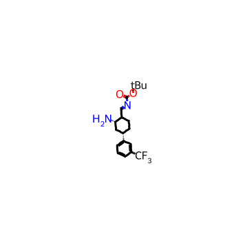 CC(C)(C)OC(=O)/N=C/C1CC[C@H](c2cccc(C(F)(F)F)c2)C[C@@H]1N